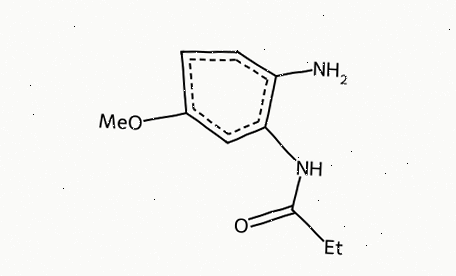 CCC(=O)Nc1cc(OC)ccc1N